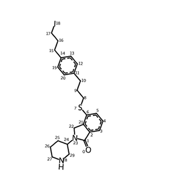 O=C1c2cccc(SCCCc3ccc(CCCI)cc3)c2CN1C1CCCNC1